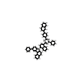 c1ccc(-c2ccc3c(c2)c2c4ccccc4ccc2n3-c2ccc(-c3nc(-c4ccccc4)nc(-c4ccc(-c5ccc6ccccc6c5)cc4)n3)c3ccccc23)cc1